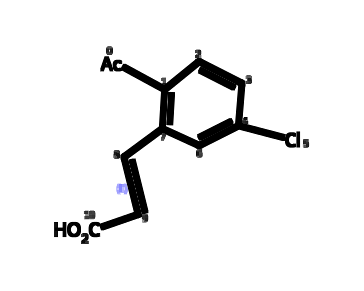 CC(=O)c1ccc(Cl)cc1/C=C/C(=O)O